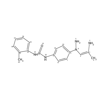 C/C(N)=C/N(N)c1ccc(NC(=O)Nc2ccccc2C)cc1